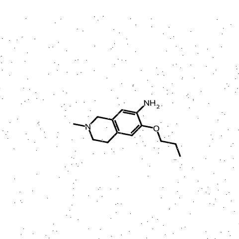 CCCOc1cc2c(cc1N)CN(C)CC2